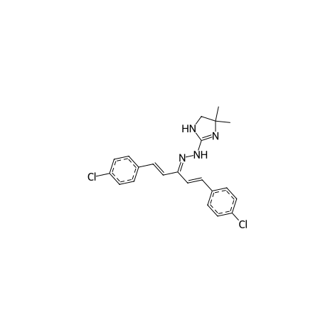 CC1(C)CNC(NN=C(/C=C/c2ccc(Cl)cc2)/C=C/c2ccc(Cl)cc2)=N1